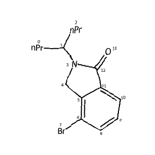 CCCC(CCC)N1Cc2c(Br)cccc2C1=O